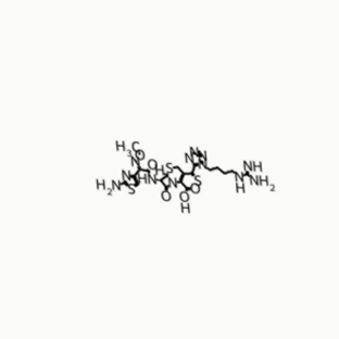 CO/N=C(\C(=O)N[C@@H]1C(=O)N2C(C(=O)O)=C(C(=S)c3nnnn3CCCCNC(=N)N)CS[C@@H]12)c1csc(N)n1